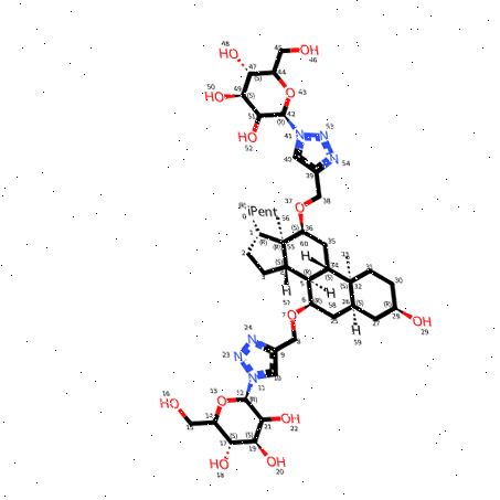 CCC[C@@H](C)[C@H]1CC[C@H]2[C@@H]3[C@H](OCc4cn([C@@H]5OC(CO)[C@@H](O)[C@H](O)C5O)nn4)C[C@@H]4C[C@H](O)CC[C@]4(C)[C@H]3C[C@H](OCc3cn([C@@H]4OC(CO)[C@@H](O)[C@H](O)C4O)nn3)[C@]12C